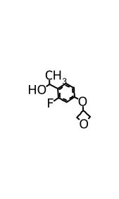 CC(O)c1ccc(OC2COC2)cc1F